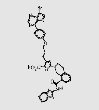 O=C(Nc1nc2ccccc2s1)c1cccc2c1CN(c1nc(C(=O)O)c(CCCOc3ccc(-c4ncnc5c(Br)csc45)cc3)s1)CC2